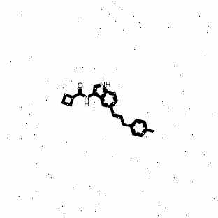 Cc1ccc(C/C=C/c2ccc3[nH]cc(NC(=O)C4CCC4)c3c2)cc1